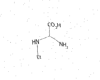 CCNC(N)C(=O)O